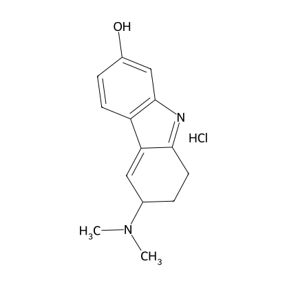 CN(C)C1C=C2C(=Nc3cc(O)ccc32)CC1.Cl